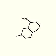 CNC1CCCC2CCC(C)CC21